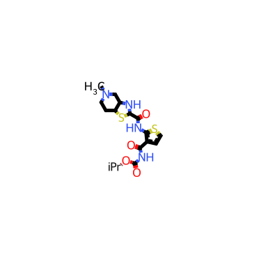 CC(C)OC(=O)NC(=O)c1ccsc1NC(=O)C1NC2CN(C)CCC2S1